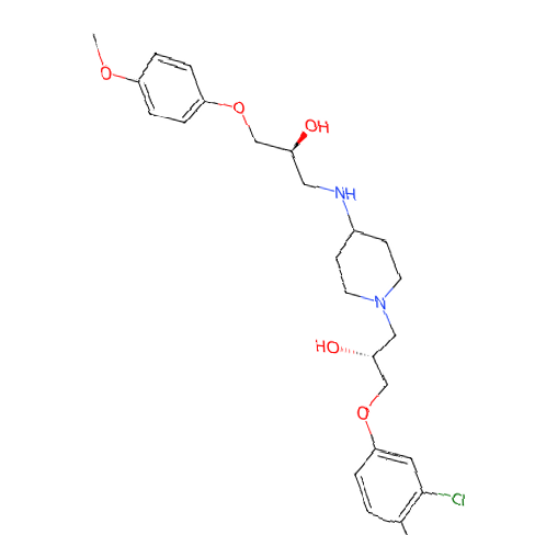 COc1ccc(OC[C@@H](O)CNC2CCN(C[C@@H](O)COc3ccc(C)c(Cl)c3)CC2)cc1